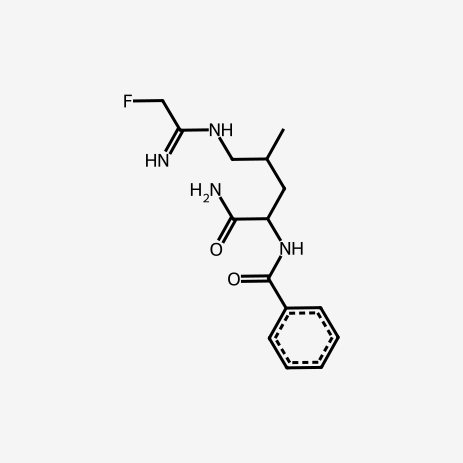 CC(CNC(=N)CF)CC(NC(=O)c1ccccc1)C(N)=O